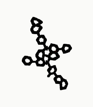 CC1C=C(N(c2ccc(-c3ccccc3)cc2)c2ccccc2-c2ccccc2N(c2ccc(-c3ccccc3)cc2)c2ccc(-c3ccc4ccccc4c3)cc2)C=CC1c1ccc2ccccc2c1